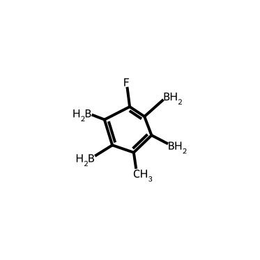 Bc1c(B)c(F)c(B)c(B)c1C